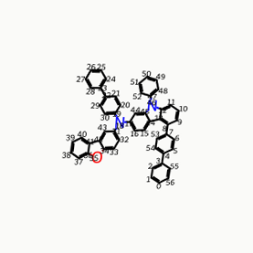 c1ccc(-c2ccc(-c3cccc4c3c3ccc(N(c5ccc(-c6ccccc6)cc5)c5ccc6oc7ccccc7c6c5)cc3n4-c3ccccc3)cc2)cc1